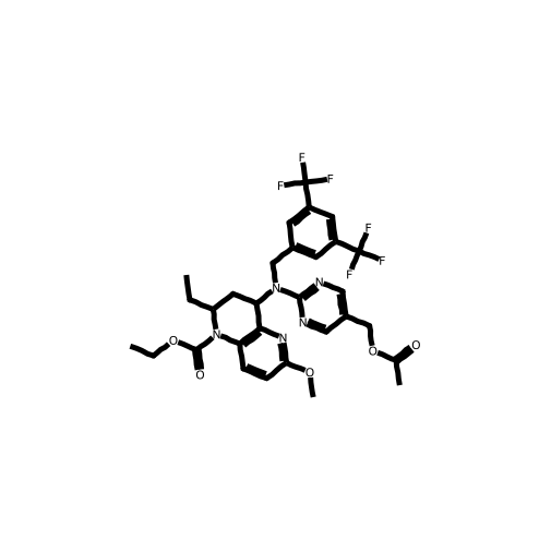 CCOC(=O)N1c2ccc(OC)nc2C(N(Cc2cc(C(F)(F)F)cc(C(F)(F)F)c2)c2ncc(COC(C)=O)cn2)CC1CC